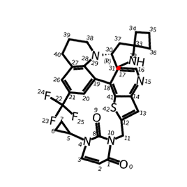 O=c1ccn(C2CC2)c(=O)n1Cc1cc2nccc(-c3cc(C(F)(F)F)cc4c3N([C@H]3CNC5(CCC5)C3)CCC4)c2s1